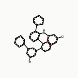 Clc1cccc(Nc2c(-c3ccccc3)cccc2-c2ccccc2-c2cc(Br)cc(-c3ccccc3)c2)c1